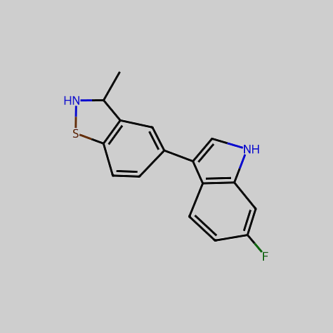 CC1NSc2ccc(-c3c[nH]c4cc(F)ccc34)cc21